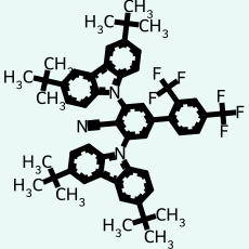 CC(C)(C)c1ccc2c(c1)c1cc(C(C)(C)C)ccc1n2-c1cc(-c2ccc(C(F)(F)F)cc2C(F)(F)F)cc(-n2c3ccc(C(C)(C)C)cc3c3cc(C(C)(C)C)ccc32)c1C#N